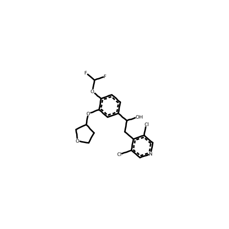 OC(Cc1c(Cl)cncc1Cl)c1ccc(OC(F)F)c(OC2CCOC2)c1